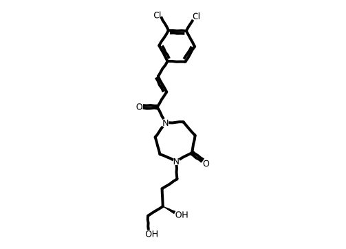 O=C(/C=C/c1ccc(Cl)c(Cl)c1)N1CCC(=O)N(CC[C@@H](O)CO)CC1